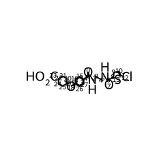 O=C(NCCNC(=O)C1CC=C(Cl)S1)c1ccc(O[C@H]2CC[C@@H](C(=O)O)CC2)cc1